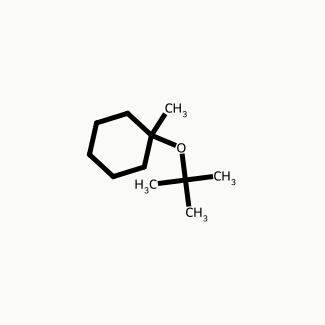 CC(C)(C)OC1(C)CCCCC1